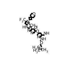 Cn1c(Nc2cc(C(F)(F)F)n(C3CC4(CCOCC4)C3)n2)nc2ncc(Oc3cnc(NCOCC[Si](C)(C)C)c(C=N)c3)c(Cl)c21